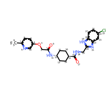 O=C(COc1ccc(C(F)(F)F)nc1)N[C@H]1CC[C@H](C(=O)NCc2nc3cc(Cl)ccc3[nH]2)CC1